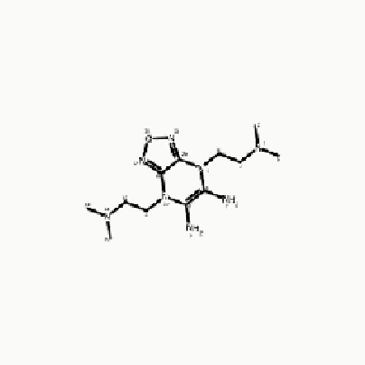 CN(C)CCN1C(N)=C(N)N(CCN(C)C)c2nonc21